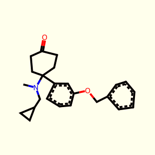 CN(CC1CC1)C1(c2cccc(OCc3ccccc3)c2)CCC(=O)CC1